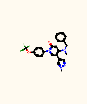 CN(Cc1ccccc1)c1cc(=O)n(-c2ccc(OC(F)(F)F)cc2)cc1-c1cnn(C)c1